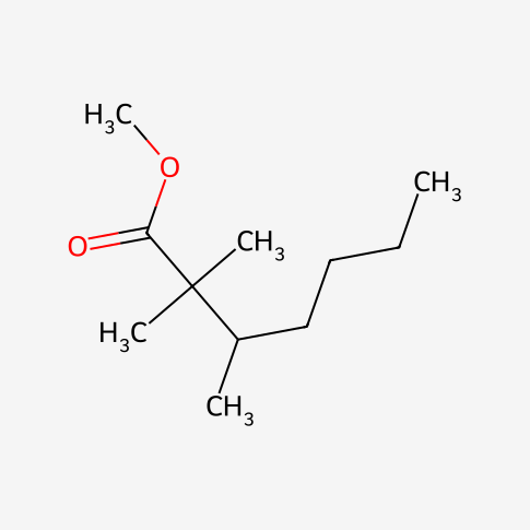 CCCCC(C)C(C)(C)C(=O)OC